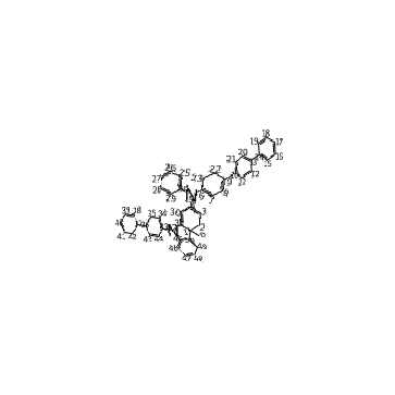 CC12CC=C(N(C3=CC=C(c4ccc(-c5ccccc5)cc4)CC3)c3ccccc3)C=C1N(C1=CCC(C3C=CC=CC3)C=C1)c1ccccc12